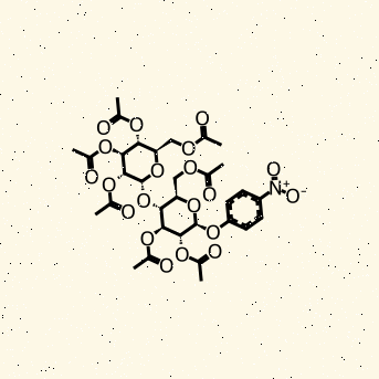 CC(=O)OC[C@H]1O[C@H](O[C@H]2[C@H](OC(C)=O)[C@@H](OC(C)=O)[C@H](Oc3ccc([N+](=O)[O-])cc3)O[C@@H]2COC(C)=O)[C@H](OC(C)=O)[C@@H](OC(C)=O)[C@@H]1OC(C)=O